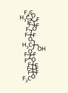 CC(CO)(COC(F)(F)C(F)OC(F)(F)C(F)C(C)(F)OC(F)(F)F)COC(F)(F)C(F)OC(F)(F)C(F)(F)C(F)(F)OC(F)(F)F